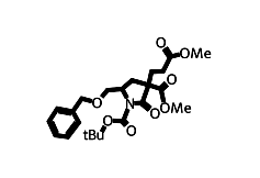 COC(=O)CCC1(C(=O)OC)CC(COCc2ccccc2)N(C(=O)OC(C)(C)C)C1=O